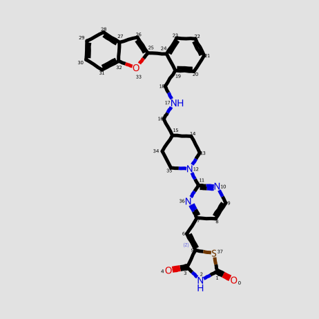 O=C1NC(=O)/C(=C/c2ccnc(N3CCC(CNCc4ccccc4-c4cc5ccccc5o4)CC3)n2)S1